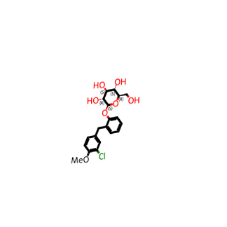 COc1ccc(Cc2ccccc2O[C@@H]2O[C@H](CO)[C@@H](O)[C@H](O)[C@H]2O)cc1Cl